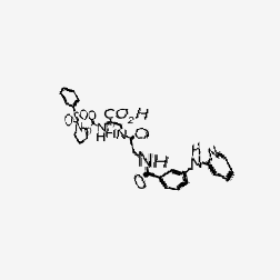 O=C(CNC(=O)c1cccc(Nc2ccccn2)c1)NC[C@@H](NC(=O)[C@@H]1CCCN1S(=O)(=O)c1ccccc1)C(=O)O